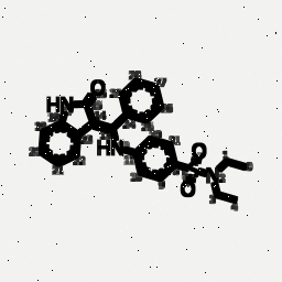 CCN(CC)S(=O)(=O)c1ccc(NC(=C2C(=O)Nc3ccccc32)c2ccccc2)cc1